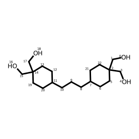 OCC1(CO)CCC(CCCC2CCC(CO)(CO)CC2)CC1